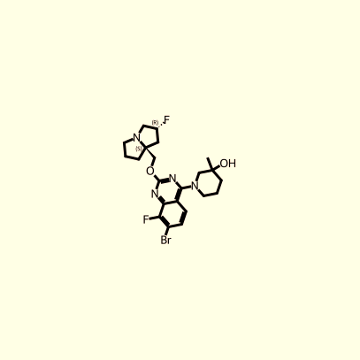 CC1(O)CCCN(c2nc(OC[C@@]34CCCN3C[C@H](F)C4)nc3c(F)c(Br)ccc23)C1